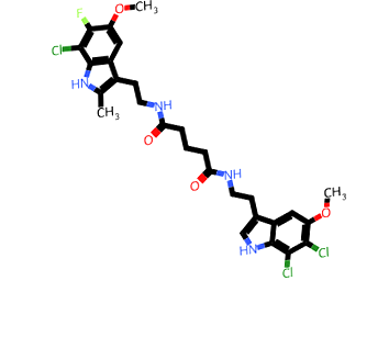 COc1cc2c(CCNC(=O)CCCC(=O)NCCc3c[nH]c4c(Cl)c(Cl)c(OC)cc34)c(C)[nH]c2c(Cl)c1F